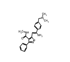 CNC(=O)c1c(-c2ccccc2)noc1/C=C(\N)c1ccc(CN(C)C)cc1